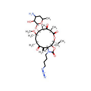 C=C1C(=O)[C@H](C)C[C@@](C)(OC)[C@H](O[C@@H]2OC(C)CC(N)C2O)[C@@H](C)C(=O)[C@@H](C)C(=O)O[C@H](CC)[C@@]2(C)OC(=O)N(CCCCN=[N+]=[N-])[C@H]12